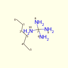 CCCCCC.NC(N)(N)N